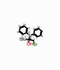 CC(C)(C)C(O)(CBr)[SiH](c1ccccc1)c1ccccc1